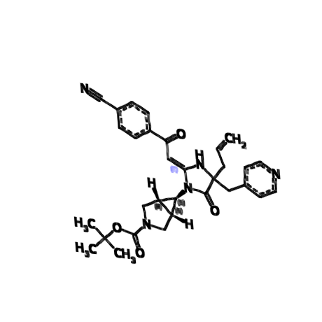 C=CCC1(Cc2ccncc2)N/C(=C\C(=O)c2ccc(C#N)cc2)N([C@H]2[C@@H]3CN(C(=O)OC(C)(C)C)C[C@@H]32)C1=O